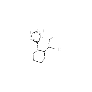 CCC(C)C1CCCCC1c1nn[nH]n1